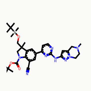 CN1CCn2nc(Nc3nccc(-c4cc(C#N)c5c(c4)C(C)(CO[Si](C)(C)C(C)(C)C)CN5C(=O)OC(C)(C)C)n3)cc2C1